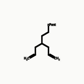 C=CC[C](CC=C)CCCCCCC